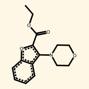 CCOC(=O)c1oc2ccccc2c1N1CCOCC1